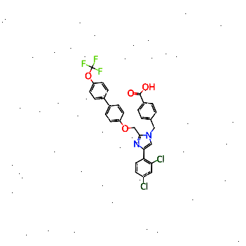 O=C(O)c1ccc(Cn2cc(-c3ccc(Cl)cc3Cl)nc2COc2ccc(-c3ccc(OC(F)(F)F)cc3)cc2)cc1